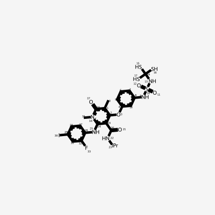 Cc1c(Oc2cccc(NS(=O)(=O)NC(S)(S)S)c2)c(C(=O)NC(C)C)c(Nc2ccc(I)cc2F)n(C)c1=O